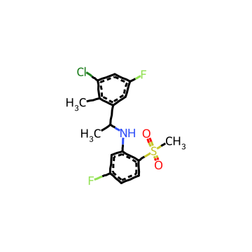 Cc1c(Cl)cc(F)cc1C(C)Nc1cc(F)ccc1S(C)(=O)=O